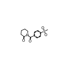 CS(=O)(=O)c1ccc(C(=O)N2CCCCC2=O)cc1